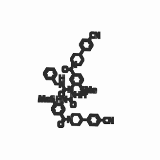 CSc1ccc(C(=O)N2CCC(c3ccc(C#N)cc3)CC2)cc1NC(=O)N(C(C)C)N(C(=O)NCc1ccccc1)c1cc(C(=O)N2CCC(c3ccc(C#N)cc3)CC2)ccc1SC